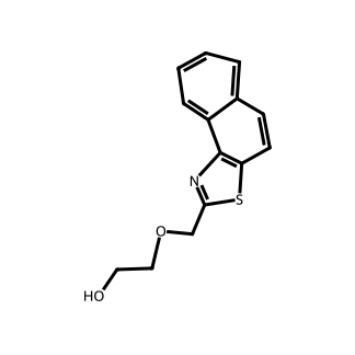 OCCOCc1nc2c(ccc3ccccc32)s1